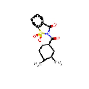 CC1CCC(C(=O)N2C(=O)c3ccccc3S2(=O)=O)CC1C